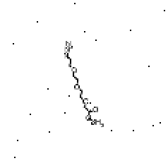 BOC(=O)COCCOCCOCCN=[N+]=[N-]